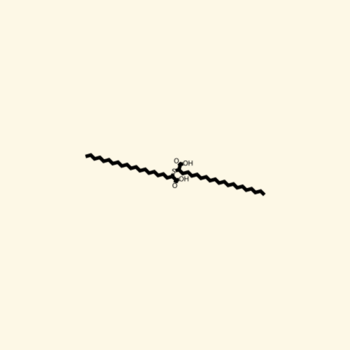 CCCCCCCCCCCCCCCCCCCC(SC(CCCCCCCCCCCCCCCCCCC)C(=O)O)C(=O)O